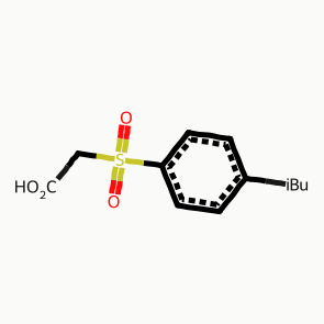 CCC(C)c1ccc(S(=O)(=O)CC(=O)O)cc1